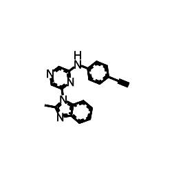 C#Cc1ccc(Nc2cncc(-n3c(C)nc4ccccc43)n2)cc1